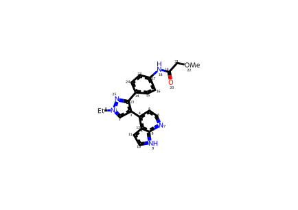 CCn1cc(-c2ccnc3[nH]ccc23)c(-c2ccc(NC(=O)COC)cc2)n1